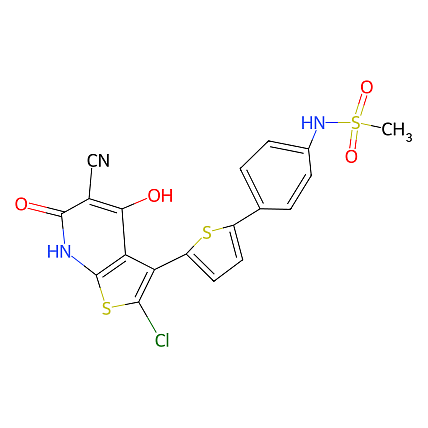 CS(=O)(=O)Nc1ccc(-c2ccc(-c3c(Cl)sc4[nH]c(=O)c(C#N)c(O)c34)s2)cc1